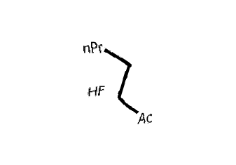 CCCCCC(C)=O.F